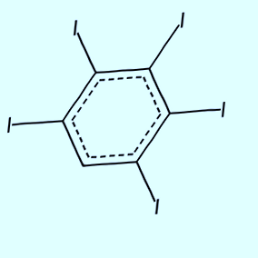 Ic1cc(I)c(I)c(I)c1I